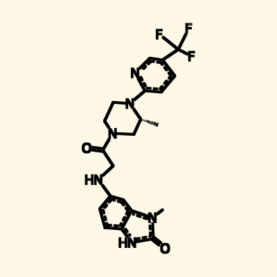 C[C@@H]1CN(C(=O)CNc2ccc3[nH]c(=O)n(C)c3c2)CCN1c1ccc(C(F)(F)F)cn1